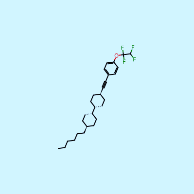 CCCCCC[C@H]1CC[C@H]([C@H]2CC[C@H](C#Cc3ccc(OC(F)(F)C(F)F)cc3)CC2)CC1